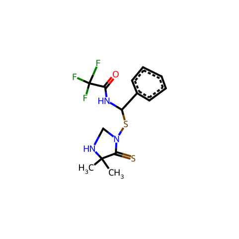 CC1(C)NCN(SC(NC(=O)C(F)(F)F)c2ccccc2)C1=S